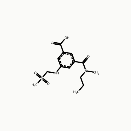 CCCN(C)C(=O)c1cc(NCS(C)(=O)=O)cc(C(=O)O)c1